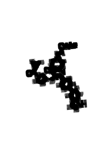 COCCN1CCC2(CC1)N=C(c1ccc(-c3ccc4[nH]ccc4c3)cc1)N(C[C@@H]1CCN(C(=O)C3CC3)C1)C2=O